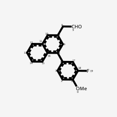 COc1ccc(-c2cc(CC=O)cc3ccccc23)cc1F